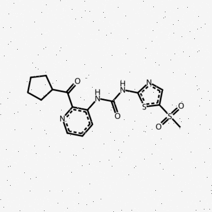 CS(=O)(=O)c1cnc(NC(=O)Nc2cccnc2C(=O)C2CCCC2)s1